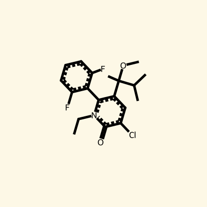 CCn1c(-c2c(F)cccc2F)c(C(C)(OC)C(C)C)cc(Cl)c1=O